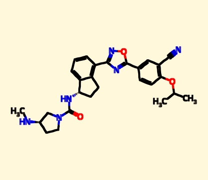 CN[C@@H]1CCN(C(=O)N[C@H]2CCc3c(-c4noc(-c5ccc(OC(C)C)c(C#N)c5)n4)cccc32)C1